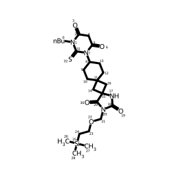 CCCCN1C(=O)CC(=O)N(C2CCC3(CC2)CC2(C3)NC(=O)N(COCC[Si](C)(C)C)C2=O)C1=S